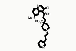 COc1ccc2ncc(Cl)c([C@@H](O)CCC3(C(=O)O)CCN(CCCc4cccnc4)CC3)c2c1